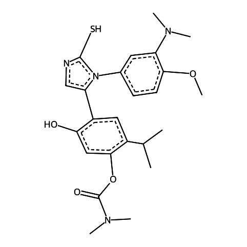 COc1ccc(-n2c(-c3cc(C(C)C)c(OC(=O)N(C)C)cc3O)cnc2S)cc1N(C)C